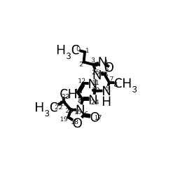 CCCc1noc(C(C)Nc2nccc(N3C(=O)OCC3C(C)C)n2)n1